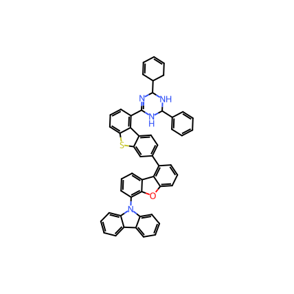 C1=CCC(C2N=C(c3cccc4sc5cc(-c6cccc7oc8c(-n9c%10ccccc%10c%10ccccc%109)cccc8c67)ccc5c34)NC(c3ccccc3)N2)C=C1